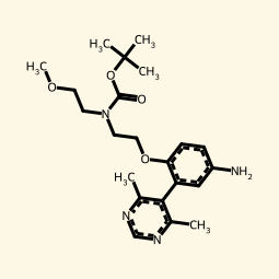 COCCN(CCOc1ccc(N)cc1-c1c(C)ncnc1C)C(=O)OC(C)(C)C